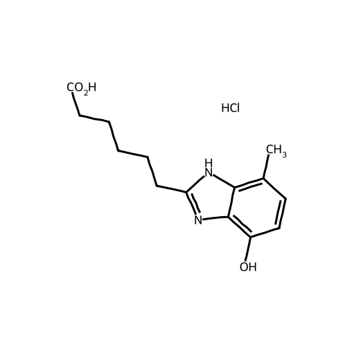 Cc1ccc(O)c2nc(CCCCCC(=O)O)[nH]c12.Cl